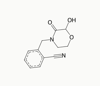 N#Cc1ccccc1CN1CCOC(O)C1=O